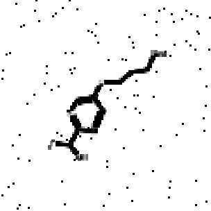 CNCCCOc1cnc(C(C)O)nc1